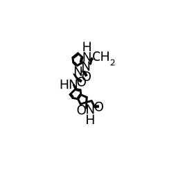 C=C1Cn2c(=O)n(CC(=O)Nc3ccc4c(c3)CC3(CC(=O)NC3=O)C4)c3cccc(c32)N1